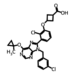 CC1(Oc2ncnc3c2nc(-c2cccc(OC4CC(C(=O)O)C4)c2Cl)n3Cc2cccc(Cl)c2)CC1